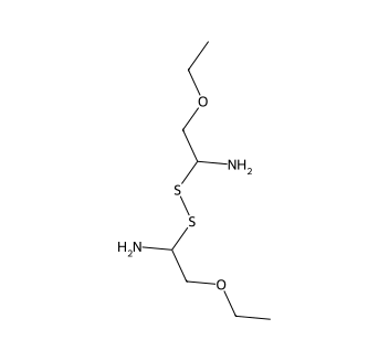 CCOCC(N)SSC(N)COCC